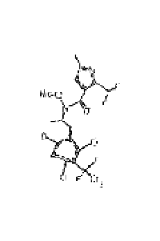 CON(C(=O)c1cn(C)nc1C(F)F)C(C)Cc1c(Cl)cc(Cl)c(C(F)(F)C(F)(F)F)c1Cl